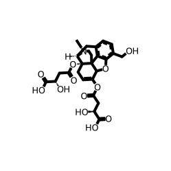 CN1CCC23c4c5ccc(CO)c4OC2C(OC(=O)C[C@H](O)C(=O)O)=CC[C@@]3(OC(=O)C[C@H](O)C(=O)O)[C@H]1C5